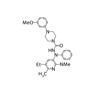 CCc1cc(N(NC(=O)N2CCN(c3cccc(OC)c3)CC2)c2ccccc2)c(NC)nc1C